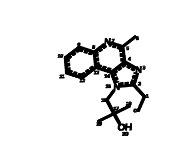 CCc1nc2c(C)nc3ccccc3c2n1CC(C)(C)O